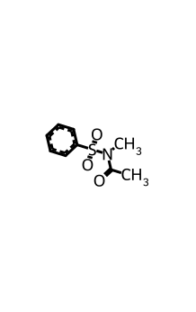 CC(=O)N(C)S(=O)(=O)c1ccccc1